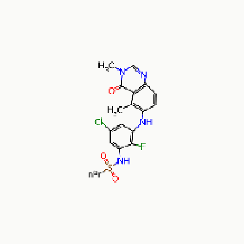 CCCS(=O)(=O)Nc1cc(Cl)cc(Nc2ccc3ncn(C)c(=O)c3c2C)c1F